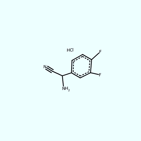 Cl.N#CC(N)c1ccc(F)c(F)c1